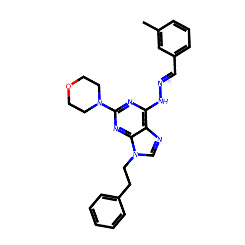 Cc1cccc(/C=N/Nc2nc(N3CCOCC3)nc3c2ncn3CCc2ccccc2)c1